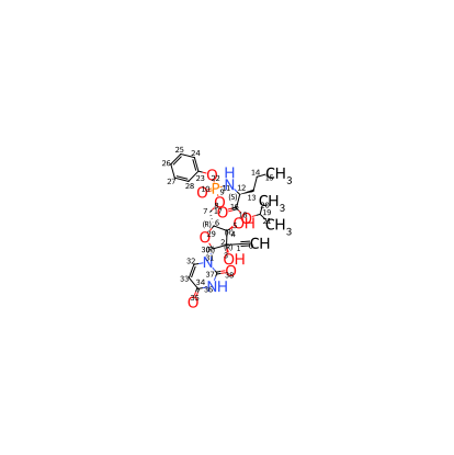 C#C[C@@]1(O)[C@H](O)[C@@H](COP(=O)(N[C@@H](CCC)C(=O)OC(C)C)Oc2ccccc2)O[C@H]1n1ccc(=O)[nH]c1=O